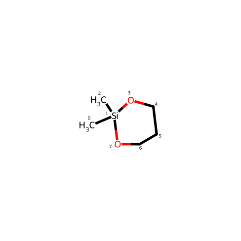 C[Si]1(C)OCCCO1